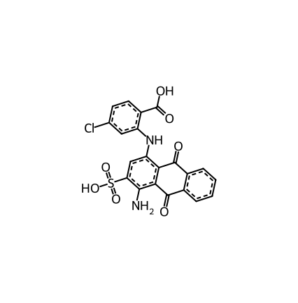 Nc1c(S(=O)(=O)O)cc(Nc2cc(Cl)ccc2C(=O)O)c2c1C(=O)c1ccccc1C2=O